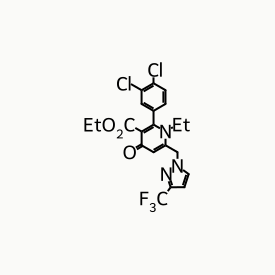 CCOC(=O)c1c(-c2ccc(Cl)c(Cl)c2)n(CC)c(Cn2ccc(C(F)(F)F)n2)cc1=O